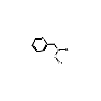 CCON(CC)Cc1ccccn1